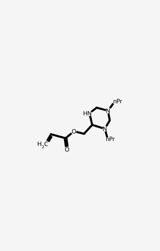 C=CC(=O)OCC1NCN(CCC)CN1CCC